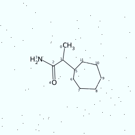 CC(C(N)=O)C1CCCCCC1